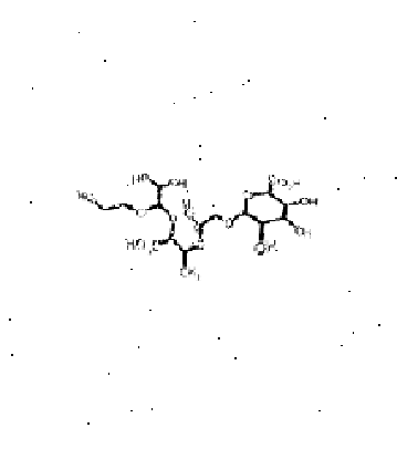 CC(O[C@@H](C)COC1OC(C(=O)O)C(O)C(O)C1O)C(OC(OCCO)C(O)O)C(=O)O